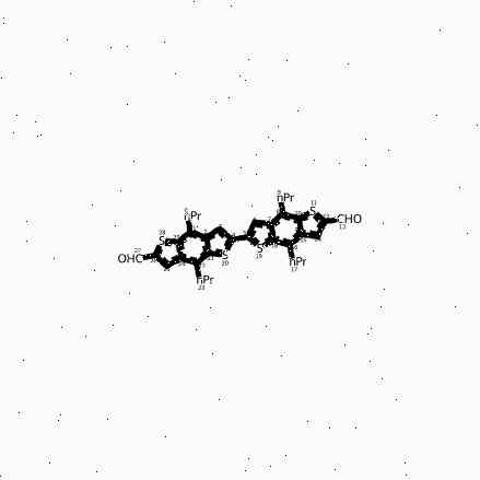 CCCc1c2cc(-c3cc4c(CCC)c5sc(C=O)cc5c(CCC)c4s3)sc2c(CCC)c2cc(C=O)sc12